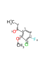 CCC(=O)c1ccc(F)c(Cl)c1OC